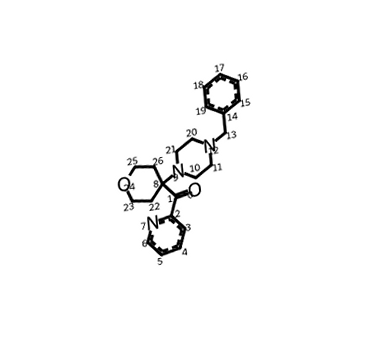 O=C(c1ccccn1)C1(N2CCN(Cc3ccccc3)CC2)CCOCC1